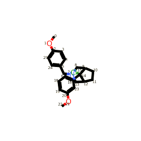 COc1ccc(CN2CC3CCC(C2)C3(Cl)c2cccc(OC)c2)cc1